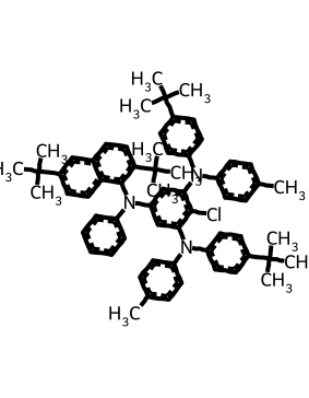 Cc1ccc(N(c2ccc(C(C)(C)C)cc2)c2cc(N(c3ccccc3)c3c(C(C)(C)C)ccc4cc(C(C)(C)C)ccc34)cc(N(c3ccc(C)cc3)c3ccc(C(C)(C)C)cc3)c2Cl)cc1